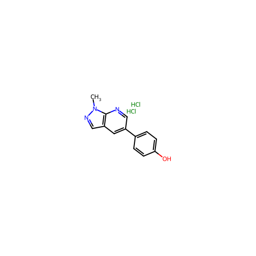 Cl.Cl.Cn1ncc2cc(-c3ccc(O)cc3)cnc21